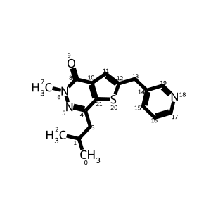 CC(C)Cc1nn(C)c(=O)c2cc(Cc3cccnc3)sc12